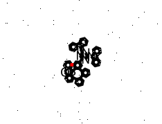 c1ccc2c(c1)Oc1cccc3c1B2c1ccc(-c2nc(-n4c5ccccc5c5ccccc54)nc(-n4c5ccccc5c5ccccc54)n2)cc1-c1ccccc1-c1ccccc1-3